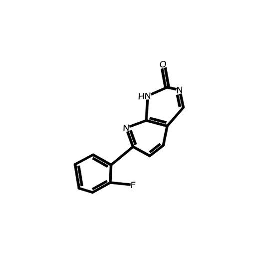 O=c1ncc2ccc(-c3ccccc3F)nc2[nH]1